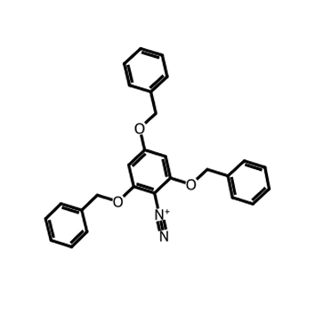 N#[N+]c1c(OCc2ccccc2)cc(OCc2ccccc2)cc1OCc1ccccc1